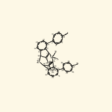 CCCC1=C2c3c(-c4ccc(C)cc4)cccc3[CH]1[Zr][CH]1C(CCC)=C(c3c(-c4ccc(C)cc4)cccc31)[Si]2(C)C